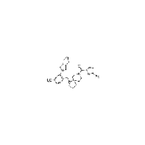 CC(=O)c1ccn(C(=O)N2CCC3(CCCN3Cc3ccc(C)cc3N3CC4COCC4C3)CC2)n1